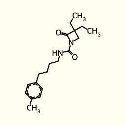 CCC1(CC)CN(C(=O)NCCCCc2ccc(C)cc2)C1=O